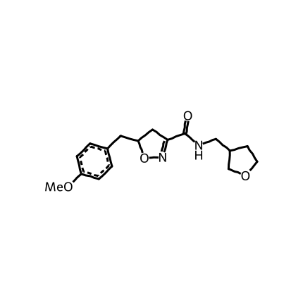 COc1ccc(CC2CC(C(=O)NCC3CCOC3)=NO2)cc1